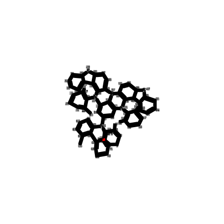 CC1=CCCC(C)=C1N(c1cc2c3c(c1)N(c1c(C)cccc1C)c1c(ccc4sc5ccccc5c14)B3C1=C(C3c4ccccc4SC3C=C1)N2c1c(C)cccc1C)c1cccc(C)c1-c1ccccc1S